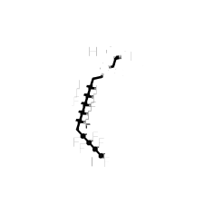 C=C(C)C(=O)OCCC(F)(F)C(F)(F)C(F)(F)C(F)(F)C(F)(F)CC(F)(F)C(F)(F)C(F)(F)C(F)(F)F